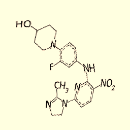 CC1=NCCN1c1ccc([N+](=O)[O-])c(Nc2ccc(N3CCC(O)CC3)c(F)c2)n1